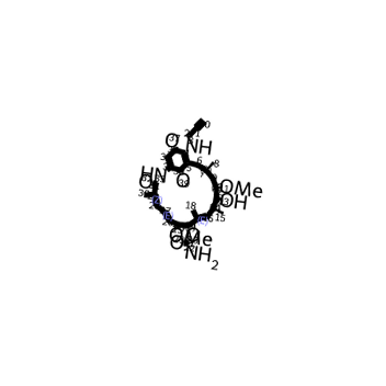 C#CCNC1=C2C[C@@H](C)C[C@H](OC)[C@H](O)[C@@H](C)/C=C(\C)[C@H](OC(N)=O)[C@H](OC)/C=C/C=C(/C)C(=O)NC(=CC1=O)C2=O